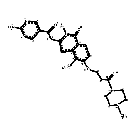 CCn1c(NC(=O)c2cnc(N)nc2)cc2c(OC)c(OCCC(=O)N3CCN(C)CC3)ccc2c1=O